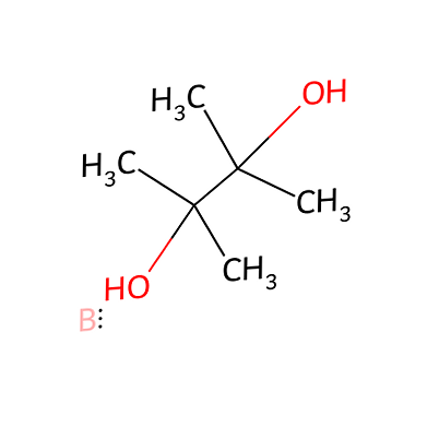 CC(C)(O)C(C)(C)O.[B]